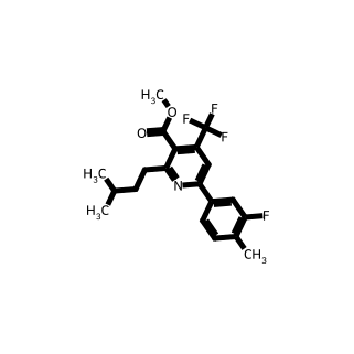 COC(=O)c1c(C(F)(F)F)cc(-c2ccc(C)c(F)c2)nc1CCC(C)C